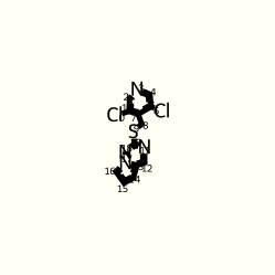 Clc1cncc(Cl)c1CSc1ncc2cccn2n1